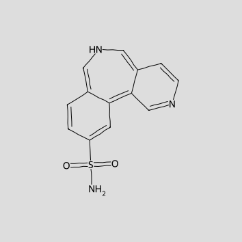 NS(=O)(=O)c1ccc2c(c1)=c1cnccc1=CNC=2